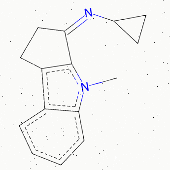 Cn1c2c(c3ccccc31)CCC2=NC1CC1